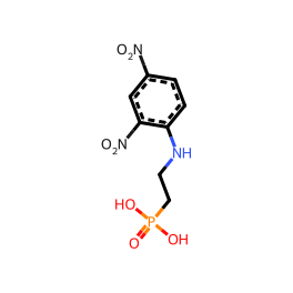 O=[N+]([O-])c1ccc(NCCP(=O)(O)O)c([N+](=O)[O-])c1